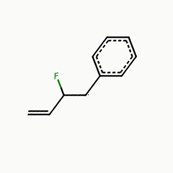 C=CC(F)[CH]c1ccccc1